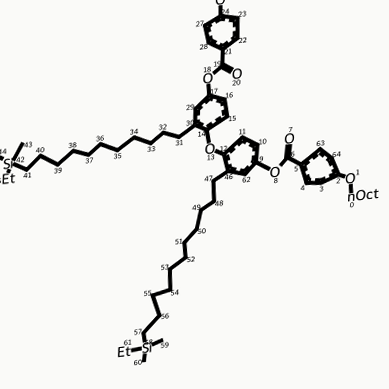 CCCCCCCCOc1ccc(C(=O)Oc2ccc(Oc3ccc(OC(=O)c4ccc(OCCCCCCCC)cc4)cc3CCCCCCCCCCC[Si](C)(C)CC)c(CCCCCCCCCCC[Si](C)(C)CC)c2)cc1